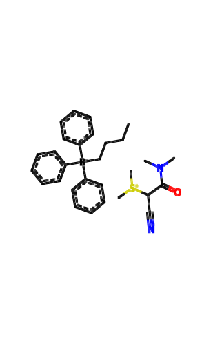 CCCC[B-](c1ccccc1)(c1ccccc1)c1ccccc1.CN(C)C(=O)C(C#N)[S+](C)C